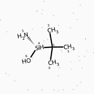 CC(C)(C)[Si@@H](N)O